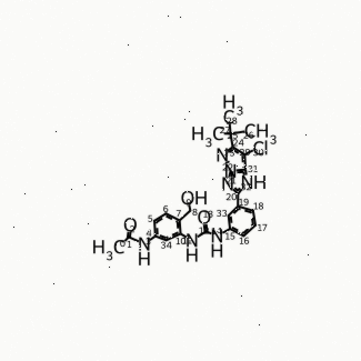 CC(=O)Nc1ccc(CO)c(NC(=O)Nc2cccc(-c3nn4nc(C(C)(C)C)c(Cl)c4[nH]3)c2)c1